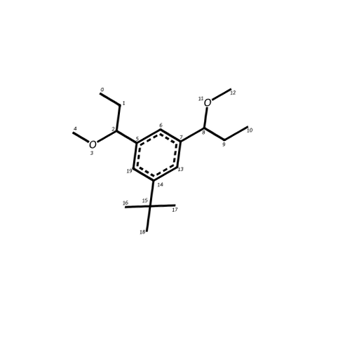 CCC(OC)c1cc(C(CC)OC)cc(C(C)(C)C)c1